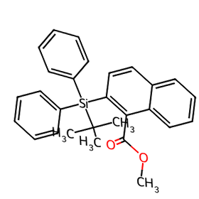 COC(=O)c1c([Si](c2ccccc2)(c2ccccc2)C(C)(C)C)ccc2ccccc12